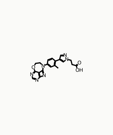 Cc1cc(N2CCOc3ncnc4c3C2=N4)ccc1-c1cnn(CCC(=O)O)c1